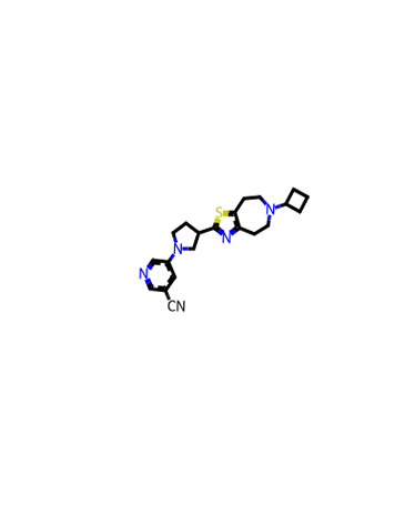 N#Cc1cncc(N2CCC(c3nc4c(s3)CCN(C3CCC3)CC4)C2)c1